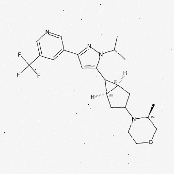 CC(C)n1nc(-c2cncc(C(F)(F)F)c2)cc1C1[C@H]2CC(N3CCOC[C@@H]3C)C[C@@H]12